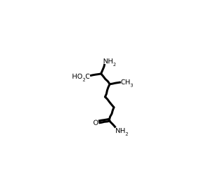 CC(CCC(N)=O)C(N)C(=O)O